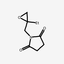 CCC1(CN2C(=O)CCC2=O)CO1